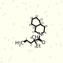 C=CCC(C)(CC)C(=O)N1CCC2CCCCC2C1